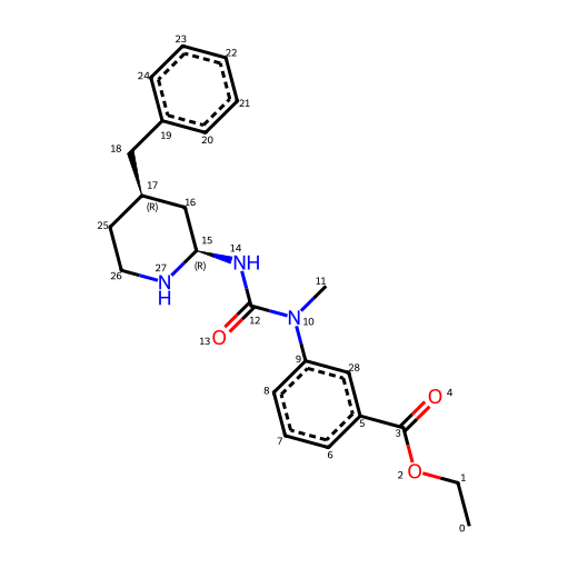 CCOC(=O)c1cccc(N(C)C(=O)N[C@@H]2C[C@H](Cc3ccccc3)CCN2)c1